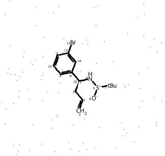 C=CC[C@H](N[S+]([O-])C(C)(C)C)c1cccc(Br)c1